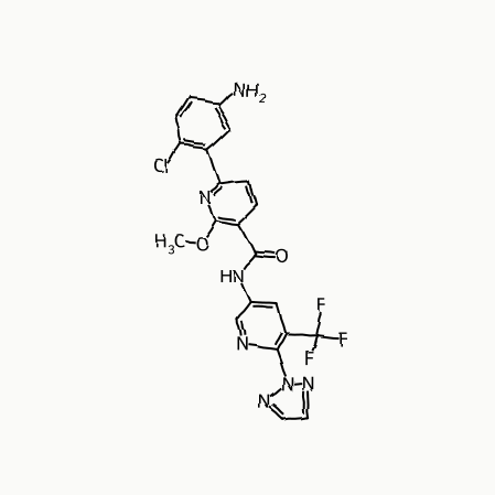 COc1nc(-c2cc(N)ccc2Cl)ccc1C(=O)Nc1cnc(-n2nccn2)c(C(F)(F)F)c1